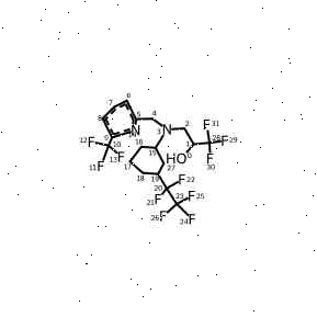 OC(CN(Cc1cccc(C(F)(F)F)n1)C1CCCC(C(F)(F)C(F)(F)F)C1)C(F)(F)F